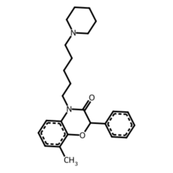 Cc1cccc2c1OC(c1ccccc1)C(=O)N2CCCCCN1CCCCC1